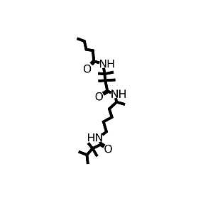 CCCCC(=O)NC(C)(C)C(C)(C)C(=O)NC(C)CCCCNC(=O)C(C)(C)C(C)C